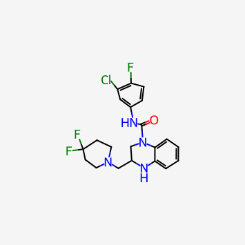 O=C(Nc1ccc(F)c(Cl)c1)N1CC(CN2CCC(F)(F)CC2)Nc2ccccc21